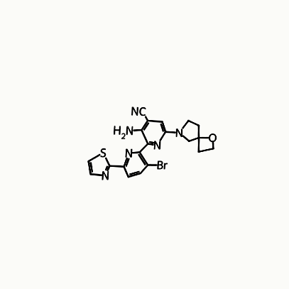 N#Cc1cc(N2CCC3(CCO3)C2)nc(-c2nc(-c3nccs3)ccc2Br)c1N